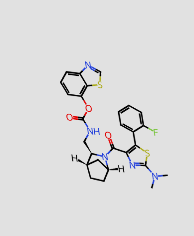 CN(C)c1nc(C(=O)N2[C@@H]3CC[C@@H](C3)[C@H]2CNC(=O)Oc2cccc3ncsc23)c(-c2ccccc2F)s1